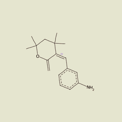 C=C1OC(C)(C)CC(C)(C)/C1=C/c1cccc(N)c1